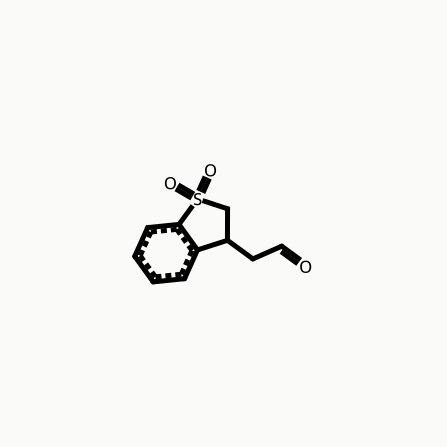 O=CCC1CS(=O)(=O)c2ccccc21